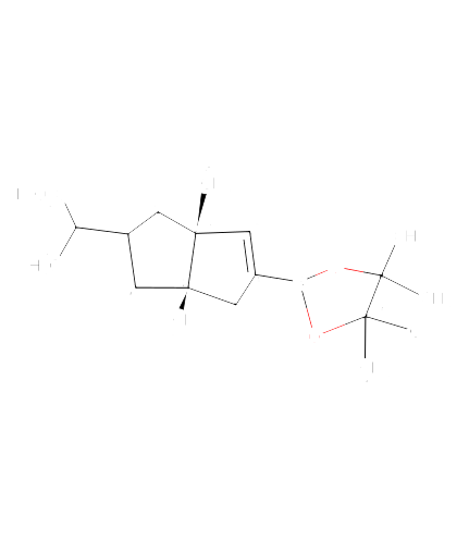 CCOC(=O)C(C)C1C[C@@]2(C)CC(B3OC(C)(C)C(C)(C)O3)=C[C@@]2(C)C1